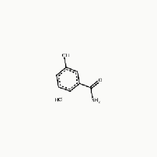 Cl.NC(=O)c1cccc(O)c1